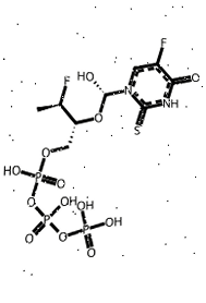 C[C@@H](F)[C@@H](COP(=O)(O)OP(=O)(O)OP(=O)(O)O)O[C@H](O)n1cc(F)c(=O)[nH]c1=S